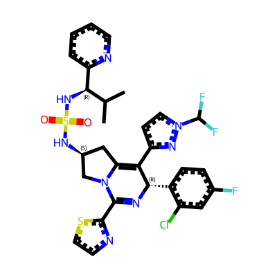 CC(C)[C@@H](NS(=O)(=O)N[C@H]1CC2=C(c3ccn(C(F)F)n3)[C@H](c3ccc(F)cc3Cl)N=C(c3nccs3)N2C1)c1ccccn1